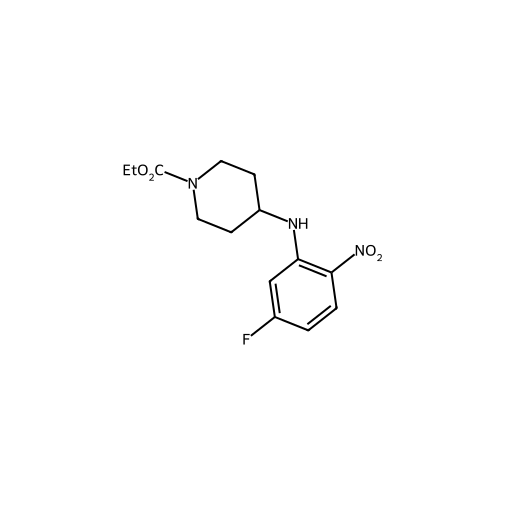 CCOC(=O)N1CCC(Nc2cc(F)ccc2[N+](=O)[O-])CC1